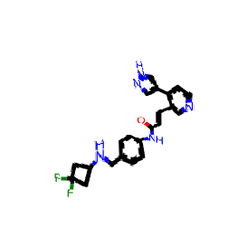 O=C(/C=C/c1cnccc1-c1cn[nH]c1)Nc1ccc(CNC2CC(F)(F)C2)cc1